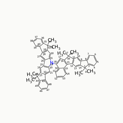 CC1(C)c2ccccc2-c2cc3c(cc21)-c1c(cc(-n2c4cc5c(cc4c4cc6c(cc42)C(C)(C)c2ccccc2-6)C(C)(C)c2ccccc2-5)c2ccccc12)C3(C)C